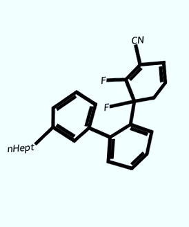 CCCCCCCc1cccc(-c2ccccc2C2(F)CC=CC(C#N)=C2F)c1